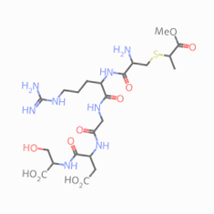 COC(=O)C(C)SCC(N)C(=O)NC(CCCNC(=N)N)C(=O)NCC(=O)NC(CC(=O)O)C(=O)NC(CO)C(=O)O